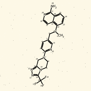 CN(Cc1ccc(N2CCn3c(nnc3C(F)(F)F)C2)nc1)c1cccc2c(N)nccc12